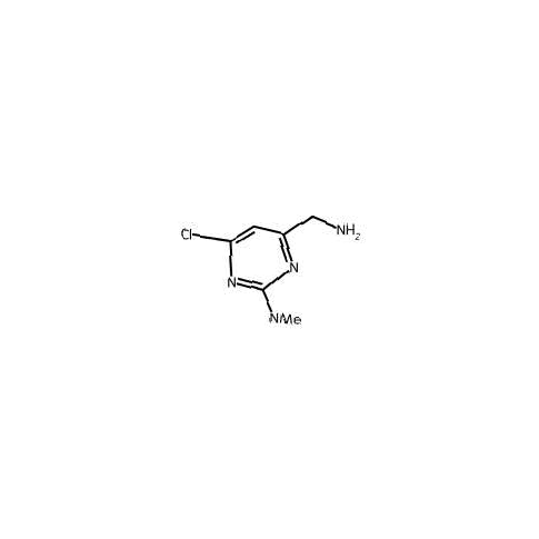 CNc1nc(Cl)cc(CN)n1